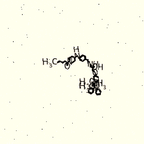 CCCCCC(=O)N1CCC(Nc2ccc(CCNCC(O)COc3ccc(O[Si](c4ccccc4)(c4ccccc4)C(C)(C)C)cc3)cc2)CC1